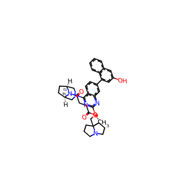 COC(=O)CCC(=O)N1[C@@H]2CC[C@H]1CN(c1nc(OCC34CCCN3CCC4)nc3cc(-c4cc(O)cc5ccccc45)ccc13)C2